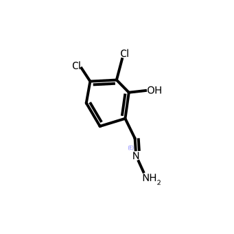 N/N=C/c1ccc(Cl)c(Cl)c1O